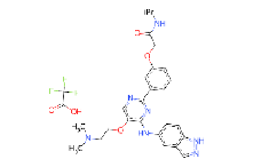 CC(C)NC(=O)COc1cccc(-c2ncc(OCCN(C)C)c(Nc3ccc4[nH]ncc4c3)n2)c1.O=C(O)C(F)(F)F